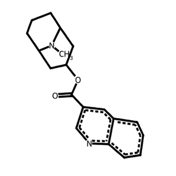 CN1C2CCCC1CC(OC(=O)c1cnc3ccccc3c1)C2